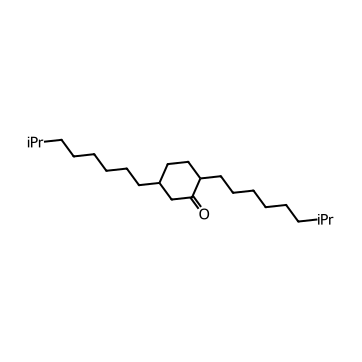 CC(C)CCCCCCC1CCC(CCCCCCC(C)C)C(=O)C1